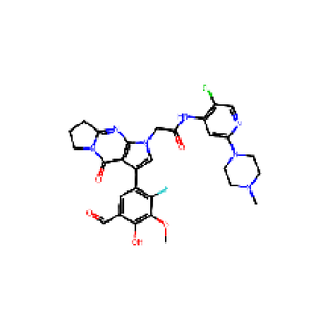 COc1c(O)c(C=O)cc(-c2cn(CC(=O)Nc3cc(N4CCN(C)CC4)ncc3Cl)c3nc4n(c(=O)c23)CCC4)c1F